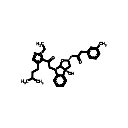 CCn1ncc(CCC(C)C)c1C(=O)CN1c2ccccc2[C@]2(O)C[C@@H](CC(=O)Cc3cccc(C)c3)OC12